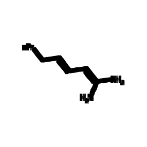 CCCC/C=C/C=C(N)N